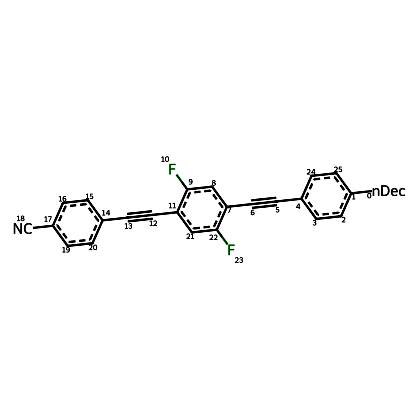 CCCCCCCCCCc1ccc(C#Cc2cc(F)c(C#Cc3ccc(C#N)cc3)cc2F)cc1